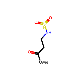 COC(=O)CCN[SH](=O)=O